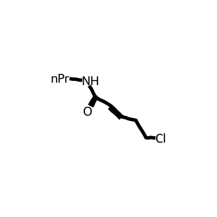 [CH2]CCNC(=O)C=CCCCl